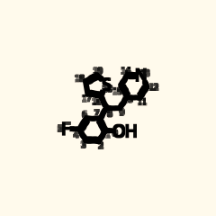 Oc1ccc(F)cc1C(Cc1ccncc1)c1cccs1